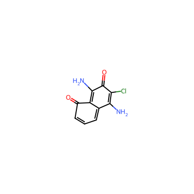 NC1=C(Cl)C(=O)C(N)=C2C(=O)C=CC=C12